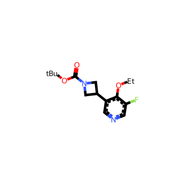 CCOc1c(F)cncc1C1CN(C(=O)OC(C)(C)C)C1